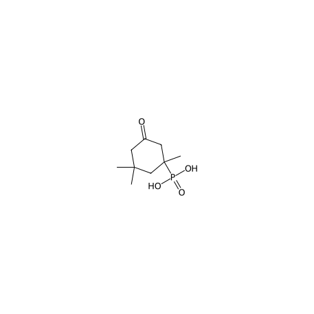 CC1(C)CC(=O)CC(C)(P(=O)(O)O)C1